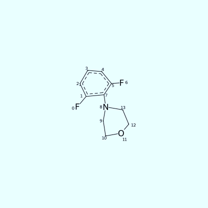 Fc1[c]ccc(F)c1N1CCOCC1